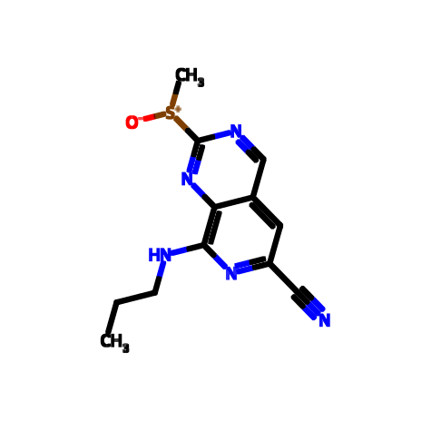 CCCNc1nc(C#N)cc2cnc([S+](C)[O-])nc12